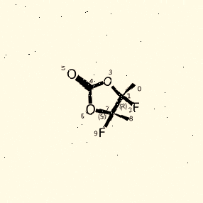 C[C@]1(F)OC(=O)O[C@@]1(C)F